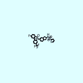 O=C(Nc1ccc2c(c1)CC(NS(=O)(=O)c1cccs1)C2)c1ccc(F)cc1-c1ccc(C(F)(F)F)cc1